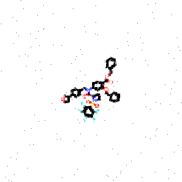 O=C(OCc1ccccc1)c1ccc(N(Cc2ccc(C3CCOC3)cc2)C(=O)[C@H]2CCN2S(=O)(=O)c2c(F)c(F)c(F)c(F)c2F)cc1OCc1ccccc1